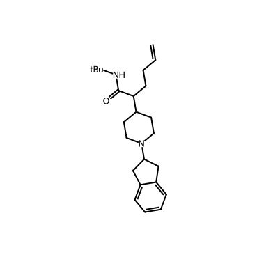 C=CCCC(C(=O)NC(C)(C)C)C1CCN(C2Cc3ccccc3C2)CC1